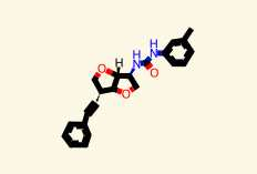 Cc1cccc(NC(=O)N[C@H]2COC3[C@H](C#Cc4ccccc4)CO[C@@H]32)c1